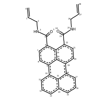 C=CCNC(=O)c1ccc2c3cccc4cccc(c5ccc(C(=O)NCC=C)c1c25)c43